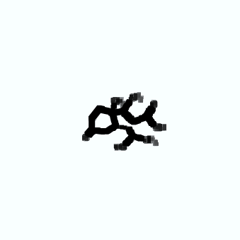 CC(O)C[C@@H]1CC(=O)CC[C@]1(C)C(C)CC(=O)C(C)(C)C